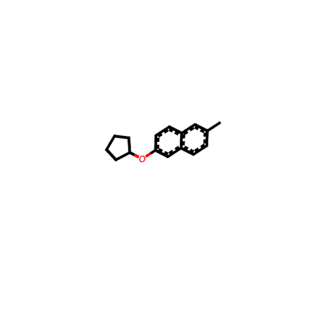 Cc1ccc2cc(OC3CCCC3)ccc2c1